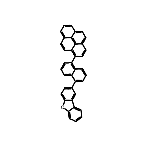 c1cc2ccc3ccc(-c4cccc5c(-c6ccc7oc8ccccc8c7c6)cccc45)c4ccc(c1)c2c34